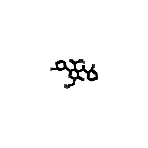 CCn1nc(-c2cccc(F)c2)c(C(C)=O)c(Nc2ccccc2Cl)c1=O